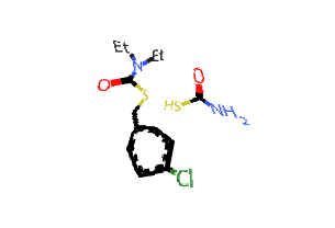 CCN(CC)C(=O)SCc1ccc(Cl)cc1.NC(=O)S